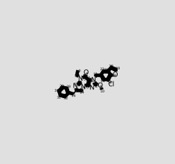 CCN1C(=O)c2c(nc(OC)n2Cc2cc(Cl)c3occc3c2)N2C[C@@H](Cc3ccccc3)N=C12